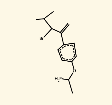 C=C(c1ccc(OC(C)P)cc1)C(Br)C(C)C